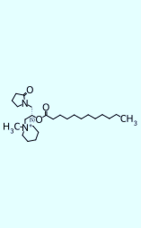 CCCCCCCCCCCC(=O)O[C@@H](CN1CCCC1=O)C[N+]1(C)CCCCC1